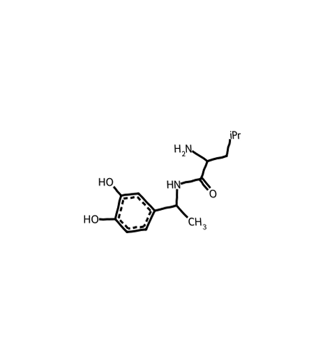 CC(C)CC(N)C(=O)NC(C)c1ccc(O)c(O)c1